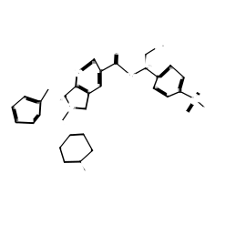 CCS(=O)(=O)c1ccc([C@H](CO)NC(=O)c2cnc3c(c2)CN(C[C@H]2CC[C@H](C(F)(F)F)CC2)[C@@H]3Cc2ccccc2)cc1